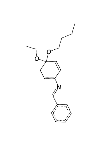 CCCCOC1(OCC)C=CC(N=Cc2ccccc2)=CC1